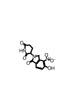 O=C1CCC(N2Cc3c(ccc(O)c3[N+](=O)[O-])C2=O)C(=O)N1